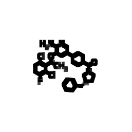 C[C@H](Oc1cc(-c2ccc(C(=O)N3CC[C@H](Cc4ccccc4)C3)cc2)cnc1N)c1c(Cl)ccc(F)c1Cl